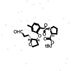 Cc1ccc(S(=O)(=O)N2CCC[C@H]2C(=O)OC(C)(C)C)c(O[C@@H]2CCO[C@@H]2CCC=O)c1